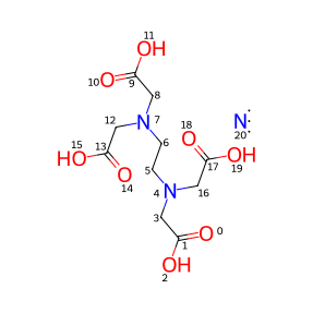 O=C(O)CN(CCN(CC(=O)O)CC(=O)O)CC(=O)O.[N]